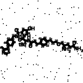 Cc1ncsc1-c1ccc(CNC(=O)[C@@H]2C[C@@H](O)CN2C(=O)[C@@H](NC(=O)CCc2ccc(CCCOC[C@@H](N)CCC(N)=O)cc2)C(C)(C)C)cc1